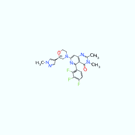 Cc1nc2cc(N3CCO[C@H](c4cnn(C)c4)C3)nc(-c3ccc(F)c(F)c3F)c2c(=O)n1C